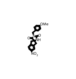 COc1ccc(CN2C(=O)NC3(Cc4ccc([N+](=O)[O-])cc4C3)C2=O)cc1